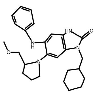 COCC1CCCN1c1cc2c(cc1Nc1ccccc1)[nH]c(=O)n2CC1CCCCC1